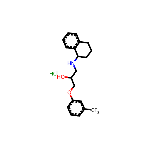 Cl.OC(CNC1CCCc2ccccc21)COc1cccc(C(F)(F)F)c1